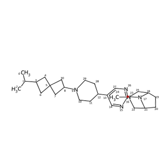 CC(C)C1CC2(C1)CC(N1CCC(c3cnc(N4C5CCC4CN(C)C5)nc3)CC1)C2